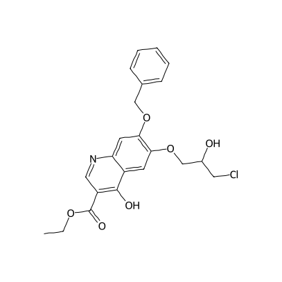 CCOC(=O)c1cnc2cc(OCc3ccccc3)c(OCC(O)CCl)cc2c1O